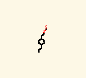 C/C=C/c1ccc(/C=C/OC=O)cc1